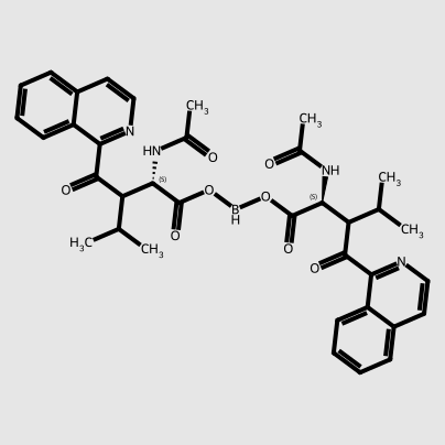 CC(=O)N[C@H](C(=O)OBOC(=O)[C@@H](NC(C)=O)C(C(=O)c1nccc2ccccc12)C(C)C)C(C(=O)c1nccc2ccccc12)C(C)C